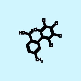 Cc1ccc(S(O)=S)c(-c2c(Cl)c(Cl)c(Cl)c(Cl)c2Cl)c1